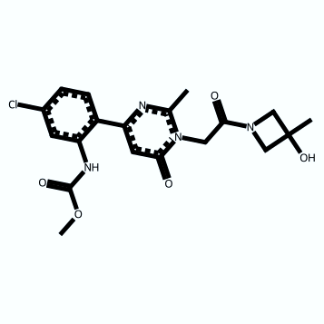 COC(=O)Nc1cc(Cl)ccc1-c1cc(=O)n(CC(=O)N2CC(C)(O)C2)c(C)n1